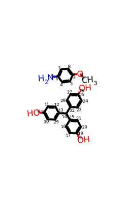 COc1ccc(N)cc1.Oc1ccc(C(c2ccc(O)cc2)c2ccc(O)cc2)cc1